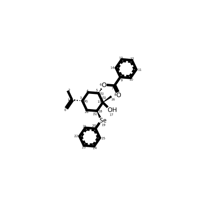 C=C(C)[C@@H]1C[C@H](OC(=O)c2ccccc2)[C@](C)(O)[C@@H]([Se]c2ccccc2)C1